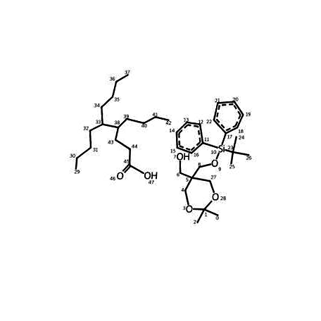 CC1(C)OCC(CO)(CO[Si](c2ccccc2)(c2ccccc2)C(C)(C)C)CO1.CCCCC(CCCC)C(CCCC)CCC(=O)O